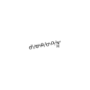 CNCCOCCOCCOCCOCCC=O